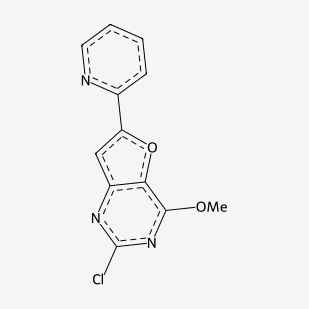 COc1nc(Cl)nc2cc(-c3ccccn3)oc12